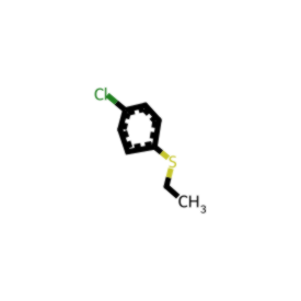 CCSc1ccc(Cl)cc1